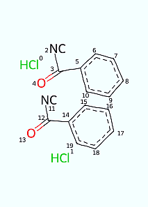 Cl.Cl.[C-]#[N+]C(=O)c1ccccc1.[C-]#[N+]C(=O)c1ccccc1